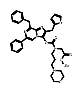 CC(C)(C)OC(=O)CN(CCCN1CCOCC1)C(=O)Oc1c(Cc2ccco2)nc2c(Cc3ccccc3)nc(-c3ccccc3)cn12